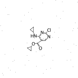 O=C(OC1CC1)c1cnc(Cl)nc1NC1CC1